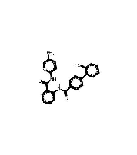 Bc1ccc(NC(=O)c2cnccc2NC(=O)c2ccc(-c3ccccc3S)cc2)nc1